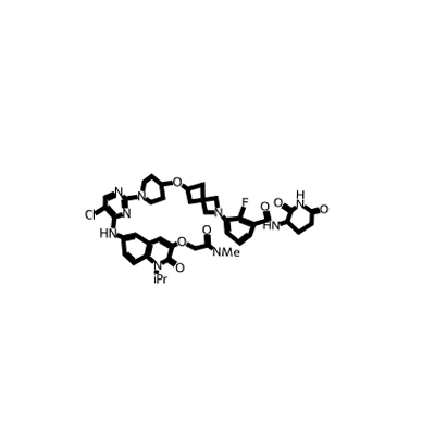 CNC(=O)COc1cc2cc(Nc3nc(N4CCC(OC5CC6(C5)CN(c5cccc(C(=O)NC7CCC(=O)NC7=O)c5F)C6)CC4)ncc3Cl)ccc2n(C(C)C)c1=O